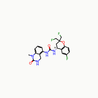 CN1C(=O)NCc2c(NC(=O)N[C@@H]3CC(CF)(CF)Oc4ccc(F)cc43)cccc21